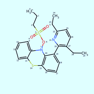 CCCS(=O)(=O)ON1c2ccccc2Sc2cccc(-c3nc(CC)ccc3CC)c21